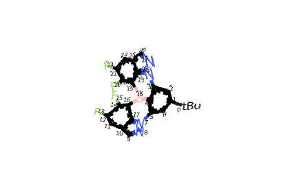 CC(C)(C)c1cc2c3c(c1)-n1ncc4cc(F)c(F)c(c41)B3c1c(F)c(F)cc3cnn-2c13